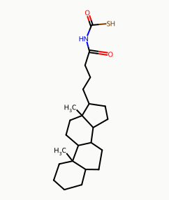 CC12CCCCC1CCC1C2CCC2(C)C(CCCC(=O)NC(=O)S)CCC12